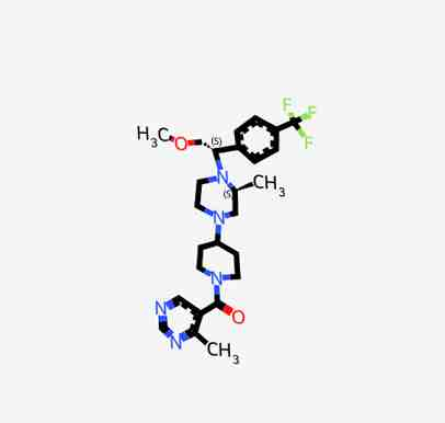 COC[C@H](c1ccc(C(F)(F)F)cc1)N1CCN(C2CCN(C(=O)c3cncnc3C)CC2)C[C@@H]1C